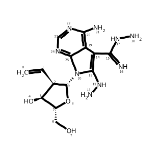 C=C[C@@H]1[C@H](O)[C@@H](CO)O[C@H]1n1c(NN)c(C(=N)NN)c2c(N)ncnc21